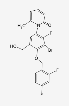 Cc1cccc(=O)n1-c1cc(CO)c(OCc2ccc(F)cc2F)c(Br)c1F